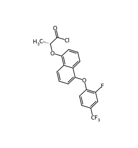 C[C@@H](Oc1cccc2c(Oc3ccc(C(F)(F)F)cc3F)cccc12)C(=O)Cl